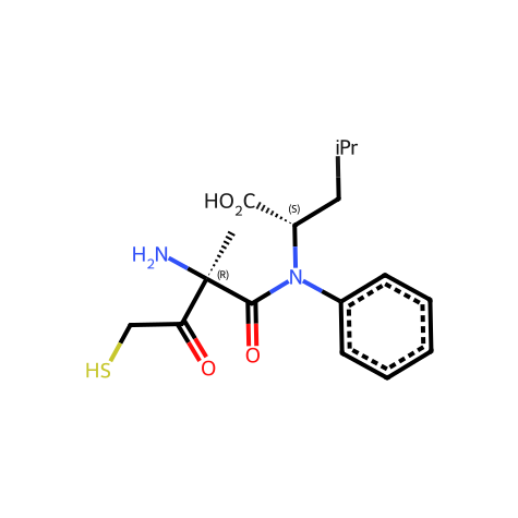 CC(C)C[C@@H](C(=O)O)N(C(=O)[C@](C)(N)C(=O)CS)c1ccccc1